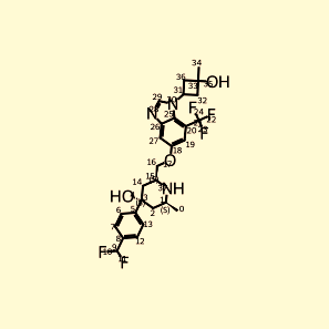 C[C@H]1C[C@@](O)(c2ccc(C(F)F)cc2)C[C@@H](COc2cc(C(F)(F)F)c3c(c2)ncn3C2CC(C)(O)C2)N1